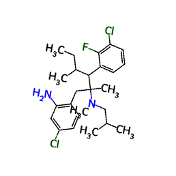 CCC(C)C(c1cccc(Cl)c1F)C(C)(Cc1ccc(Cl)cc1N)N(C)CC(C)C